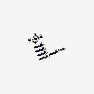 C/C=C/C=C/C(=O)[O-].C/C=C/C=C/C(=O)[O-].C/C=C/C=C/C(=O)[O-].C/C=C/C=C/C(=O)[O-].C/C=C/C=C/C(=O)[O-].CC(=O)ON(CCN(OC(C)=O)OC(C)=O)OC(C)=O.[K+].[Na+].[Na+].[Na+].[Na+]